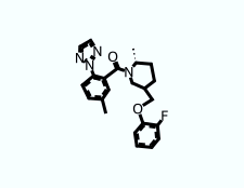 Cc1ccc(-n2nccn2)c(C(=O)N2CC(COc3ccccc3F)CC[C@H]2C)c1